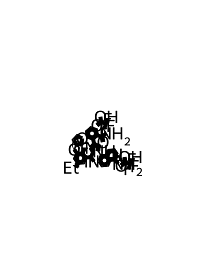 CCc1cc(O[C@H]2CCOC2)c(F)c(C(Nc2ccc3c(N)nccc3c2)c2nc(-c3ccccc3C(N)=O)c[nH]2)c1.O=C(O)C(F)(F)F.O=C(O)C(F)(F)F